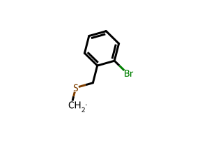 [CH2]SCc1ccccc1Br